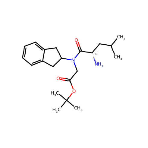 CC(C)C[C@H](N)C(=O)N(CC(=O)OC(C)(C)C)C1Cc2ccccc2C1